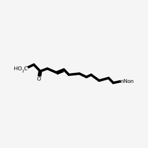 CCCCCCCCCCCCCCCCC=CCC(=O)CC(=O)O